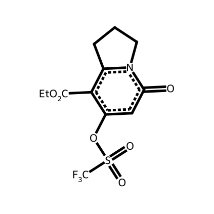 CCOC(=O)c1c(OS(=O)(=O)C(F)(F)F)cc(=O)n2c1CCC2